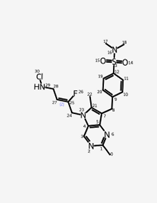 Cc1ncc2c(n1)c(Cc1ccc(S(=O)(=O)N(C)C)cc1)c(C)n2C/C(F)=C/CNCl